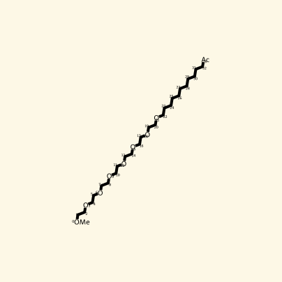 COCCOCCOCCOCCOCCOCCOCCOCCCCCCCCCCCC(C)=O